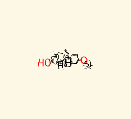 C=C[C@]12CC[C@]3(C)C[C@H](O)C[C@H]3[C@@H]1CCc1cc(O[Si](C)(C)C(C)(C)C)ccc12